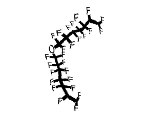 FC(F)=C(F)C(F)(F)C(F)(F)C(F)(F)C(F)(F)C(F)(F)OC(F)(F)C(F)(F)C(F)(F)C(F)(F)C(F)(F)C(F)=C(F)F